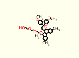 COc1ccc(C2(c3ccc(OC)cc3)C=Cc3c4c(c5ccc(C)cc5c3O2)-c2ccc(C)cc2C4(C)OCCOCCOCCO)cc1